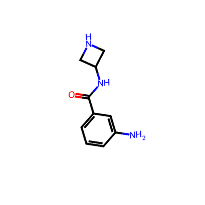 Nc1cccc(C(=O)NC2CNC2)c1